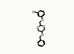 Clc1cccc(OCC2OCC(OCc3ccccc3)CO2)c1